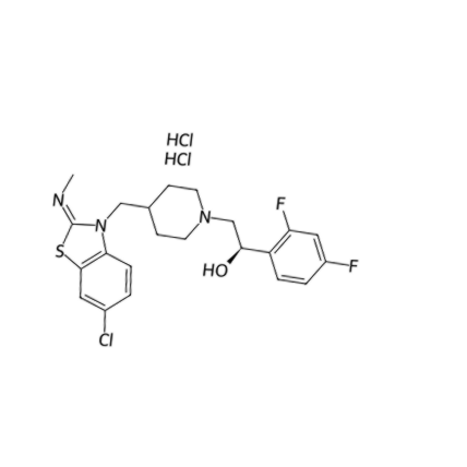 CN=c1sc2cc(Cl)ccc2n1CC1CCN(C[C@H](O)c2ccc(F)cc2F)CC1.Cl.Cl